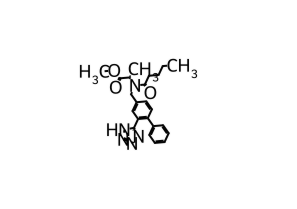 CCCCC(=O)N(Cc1ccc(-c2ccccc2)c(-c2nnn[nH]2)c1)[C@@H](C)C(=O)OC